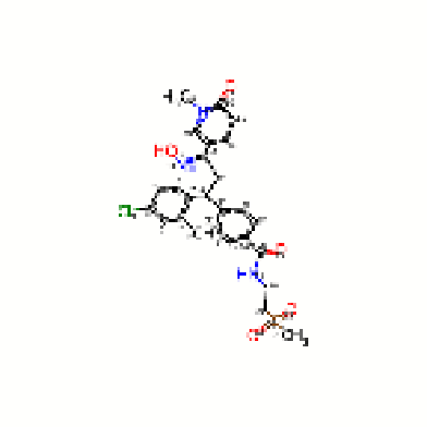 Cc1cc(Cl)ccc1C(C/C(=N/O)c1ccc(=O)n(C)c1)c1ccc(C(=O)NCCS(C)(=O)=O)cc1